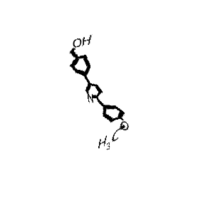 COc1ccc(-c2ccc(-c3ccc(CO)cc3)cn2)cc1